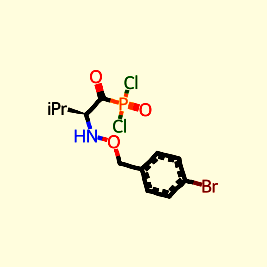 CC(C)[C@H](NOCc1ccc(Br)cc1)C(=O)P(=O)(Cl)Cl